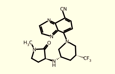 CN1CC[C@H](N[C@H]2C[C@@H](C(F)(F)F)CN(c3ccc(C#N)c4nccnc34)C2)C1=O